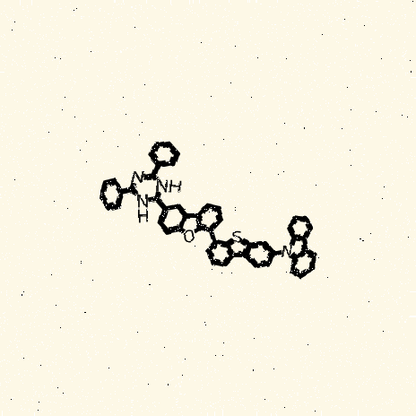 C1=C(C2NC(c3ccccc3)=NC(c3ccccc3)N2)CC2C(=C1)Oc1c(-c3cccc4c3sc3cc(-n5c6ccccc6c6ccccc65)ccc34)cccc12